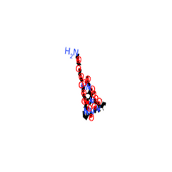 CC[C@H](C)[C@@H]([C@@H](CC(=O)N1CCC[C@H]1[C@H](OC)[C@@H](C)C(=O)NCC(=O)OC)OC)N(C)C(=O)CNC(=O)[C@@H]1CCCN1C(=O)CCOCCOCCOCCOCCOCCOCCN